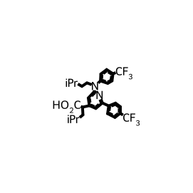 CC(C)CCN(c1ccc(C(F)(F)F)cc1)c1cc(C(CC(C)C)C(=O)O)cc(-c2ccc(C(F)(F)F)cc2)n1